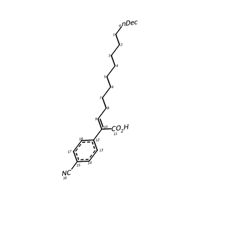 CCCCCCCCCCCCCCCCCCC=C(C(=O)O)c1ccc(C#N)cc1